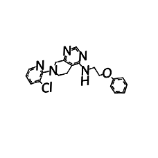 Clc1cccnc1N1CCc2c(ncnc2NCCOc2ccccc2)C1